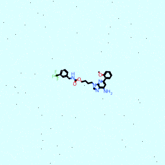 COc1ccccc1-c1cc(N)c2ncn(CCCCOC(=O)NCc3cccc(C(F)(F)F)c3)c2n1